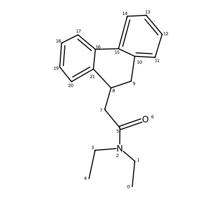 CCN(CC)C(=O)CC1Cc2ccccc2-c2ccccc21